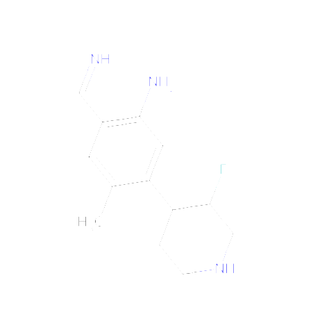 Cc1cc(C=N)c(N)cc1C1CCNCC1F